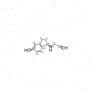 C#CCN[C@@H]1CCc2cc(O)ccc21